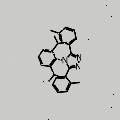 Cc1cccc(-c2nnc(-c3ccccc3C)n2-c2c(C(C)C)cccc2C(C)C)c1